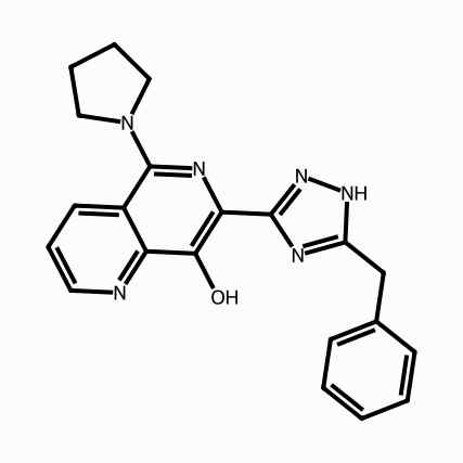 Oc1c(-c2n[nH]c(Cc3ccccc3)n2)nc(N2CCCC2)c2cccnc12